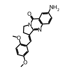 COc1ccc(OC)c(C=C2CCn3c2nc2ccc(N)cc2c3=O)c1